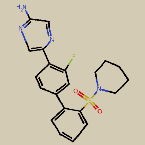 Nc1cnc(-c2ccc(-c3ccccc3S(=O)(=O)N3CCCCC3)cc2F)cn1